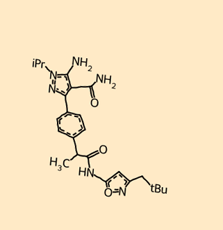 CC(C(=O)Nc1cc(CC(C)(C)C)no1)c1ccc(-c2nn(C(C)C)c(N)c2C(N)=O)cc1